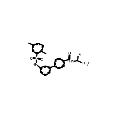 Cc1ccc(C)c(S(=O)(=O)Nc2cccc(-c3ccc(C(=O)NC(C(=O)O)C(C)C)cc3)c2)c1